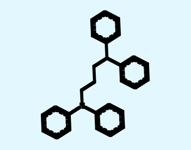 c1ccc(C(CCCN(c2ccccc2)c2ccccc2)c2ccccc2)cc1